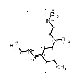 CCC/C(CCN(C)CCNC)=N/NCC